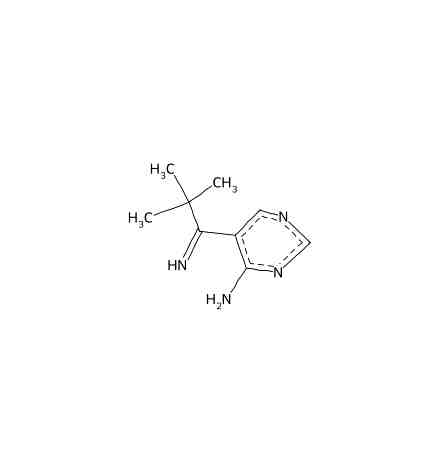 CC(C)(C)C(=N)c1cncnc1N